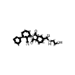 N#Cc1c(-c2ccccc2)cccc1N1C(=O)c2ccc(C(=O)NCCO)cc2C1=O